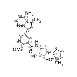 COc1ncc(-c2cc(C(F)(F)F)c3c(N)ncnn23)cc1C(=O)N[C@@H]1CN(C2CCCC2(C)O)C[C@@H]1F